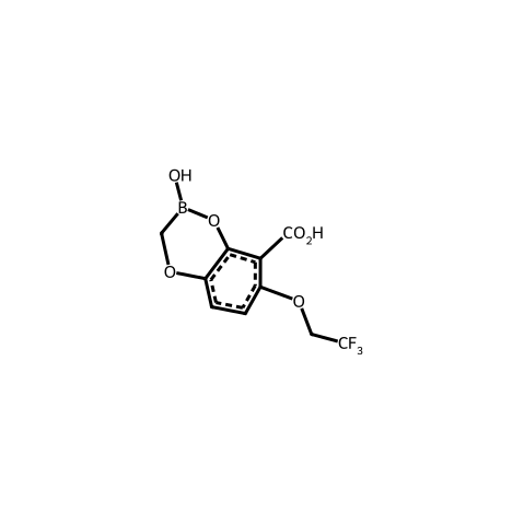 O=C(O)c1c(OCC(F)(F)F)ccc2c1OB(O)CO2